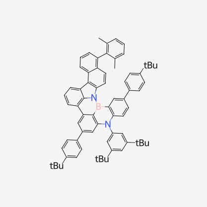 Cc1cccc(C)c1-c1cccc2c1ccc1c2c2cccc3c2n1B1c2cc(-c4ccc(C(C)(C)C)cc4)ccc2N(c2cc(C(C)(C)C)cc(C(C)(C)C)c2)c2cc(-c4ccc(C(C)(C)C)cc4)cc-3c21